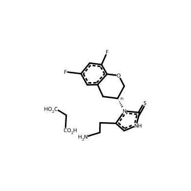 NCCc1c[nH]c(=S)n1[C@H]1COc2c(F)cc(F)cc2C1.O=C(O)CC(=O)O